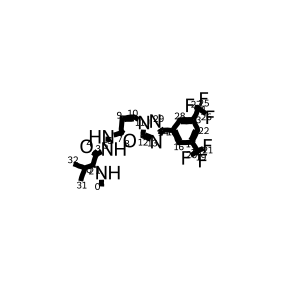 CN[C@@H](C(=O)NNC(=O)/C=C\n1cnc(-c2cc(C(F)(F)F)cc(C(F)(F)F)c2)n1)C(C)C